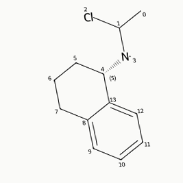 CC(Cl)[N][C@H]1CCCc2ccccc21